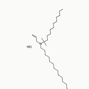 C=CCN(CCCCCCCCCCCCCC)C(C)(C)CCCCCCCCCCC.Cl